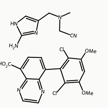 CN(CC#N)Cc1c[nH]c(N)n1.COc1cc(OC)c(Cl)c(-c2ccc(C(=O)O)c3nccnc23)c1Cl